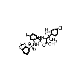 CC(C)(c1ccc(Cl)cc1)[C@H](NC(=O)c1ccc(I)cc1NS(=O)(=O)c1cccc2nsnc12)C(=O)O